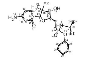 CC[C@@H](NP(=O)(OC[C@H]1O[C@@H](n2ccc(N)nc2=O)[C@](C)(F)[C@@H]1O)Oc1ccccc1)C(C)C